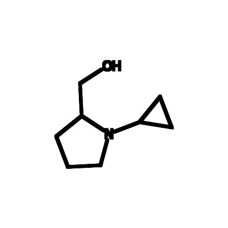 OCC1CCCN1C1CC1